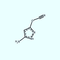 N#COc1cc(N)[nH]n1